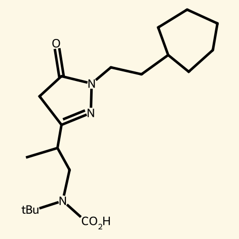 CC(CN(C(=O)O)C(C)(C)C)C1=NN(CCC2CCCCC2)C(=O)C1